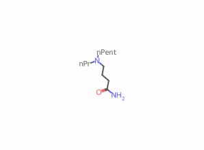 CCCCCN(CCC)CCCC(N)=O